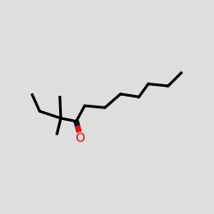 CCCCCCCC(=O)C(C)(C)CC